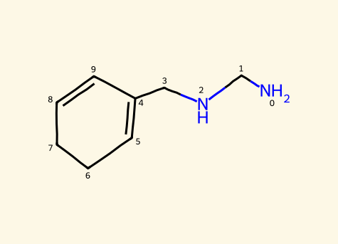 NCNCC1=CCCC=C1